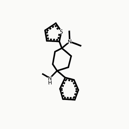 CNC1(c2ccccc2)CCC(c2cccs2)(N(C)C)CC1